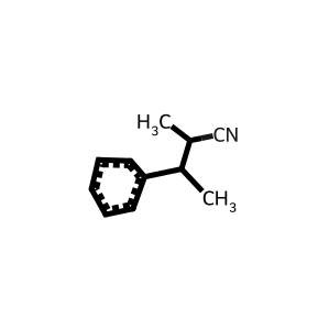 CC(C#N)C(C)c1ccccc1